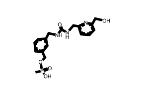 CP(=O)(O)OCc1cccc(CNC(=O)NCc2cccc(CO)n2)c1